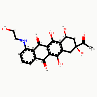 CC(=O)[C@]1(O)Cc2c(O)c3c(c(O)c2[C@@H](O)C1)C(=O)c1c(NCCO)cccc1C3=O